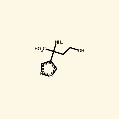 NC(CCO)(C(=O)O)c1cnoc1